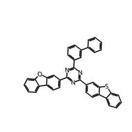 c1ccc(-c2cccc(-c3nc(-c4ccc5c(c4)oc4ccccc45)nc(-c4ccc5c(c4)sc4ccccc45)n3)c2)cc1